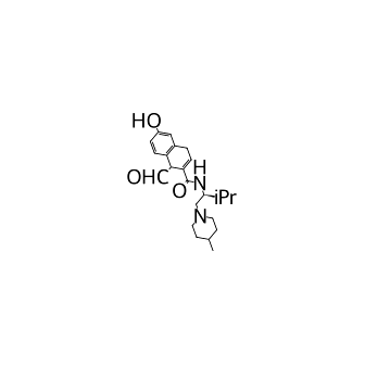 CC1CCN(C[C@@H](NC(=O)C2=CCc3cc(O)ccc3C2C=O)C(C)C)CC1